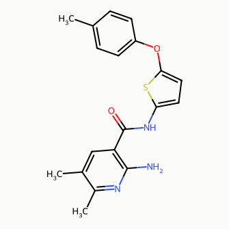 Cc1ccc(Oc2ccc(NC(=O)c3cc(C)c(C)nc3N)s2)cc1